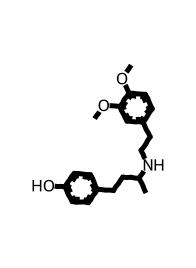 COc1ccc(CCNC(C)CCc2ccc(O)cc2)cc1OC